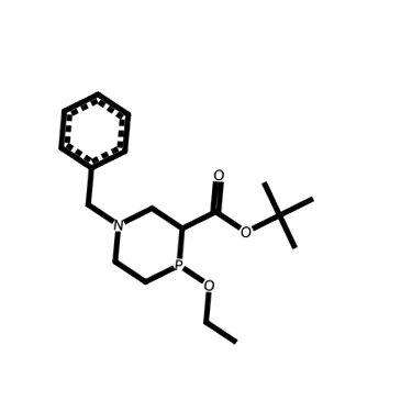 CCOP1CCN(Cc2ccccc2)CC1C(=O)OC(C)(C)C